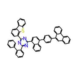 c1ccc(-c2ccccc2-c2nc(-c3ccc(-c4ccc(-c5cc6ccccc6c6ccccc56)cc4)c4ccccc34)nc(-c3cccc4c3sc3ccccc34)n2)cc1